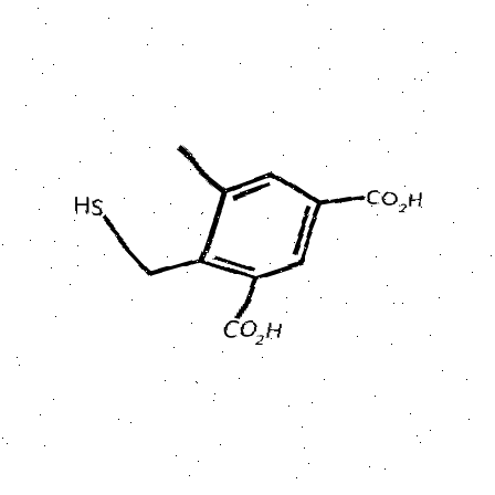 Cc1cc(C(=O)O)cc(C(=O)O)c1CS